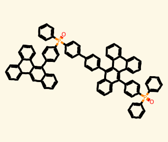 O=P(c1ccccc1)(c1ccc(-c2ccc(-c3c4ccccc4c(-c4ccc(P(=O)(c5ccccc5)c5ccccc5)cc4)c4c5ccccc5c5ccccc5c34)cc2)cc1)c1ccc(-c2c3ccccc3cc3c4ccccc4c4ccccc4c23)cc1